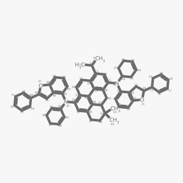 CC(C)c1cc(N(c2cccc3c2CC(C2C=CC=CC2)O3)C2CC=CCC2)c2c3c1ccc1c(N(C4=CCCC=C4)c4cccc5oc(-c6ccccc6)cc45)cc4c(c13)C(C2)C(C)(C)CC4